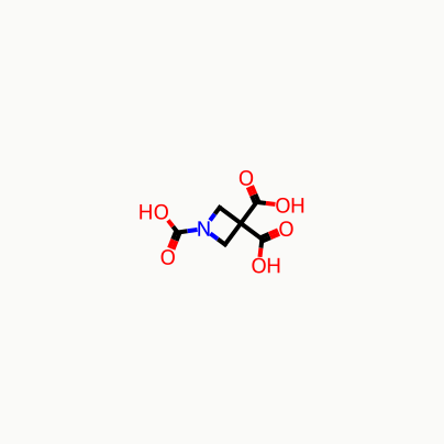 O=C(O)N1CC(C(=O)O)(C(=O)O)C1